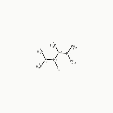 PP(P)P(P)P(I)P(P)P